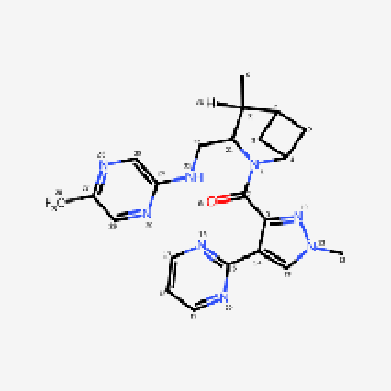 C[C@@H]1C2CC(C2)N(C(=O)c2nn(C)cc2-c2ncccn2)C1CNc1cnc(C(F)(F)F)cn1